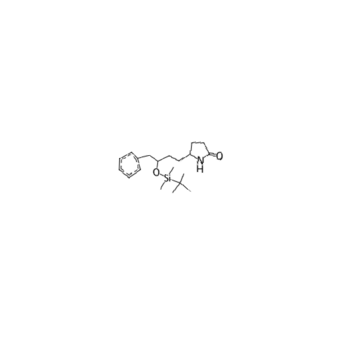 CC(C)(C)[Si](C)(C)OC(CCC1CCC(=O)N1)Cc1ccccc1